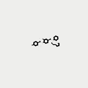 Cc1cc(Cl)ccc1C(=O)Nc1cc(Cl)c(C(=O)N2CCc3cccn3-c3ccccc32)cc1Cl